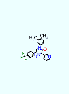 Cc1ccc(N(CCc2ccc(C(F)(F)F)cc2)C(=O)C(N)c2cccnc2)cc1C